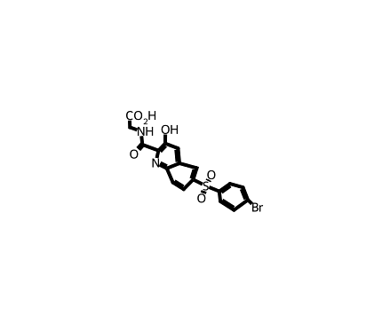 O=C(O)CNC(=O)c1nc2ccc(S(=O)(=O)c3ccc(Br)cc3)cc2cc1O